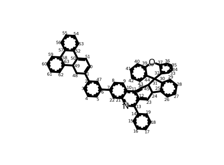 C1=C(c2cccc(-c3ccc4c5c(c(-c6ccccc6)nc4c3)=CC3c4ccccc4C4(c6ccccc6Oc6ccccc64)C3C=5)c2)CC2C(=C1)c1ccccc1-c1ccccc12